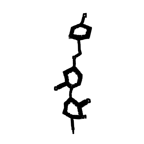 O=c1[nH]c(I)ccc1-n1ccc(OCc2ccc(Cl)cn2)cc1=O